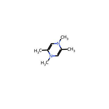 CC1=CN(C)C(C)=CN1C